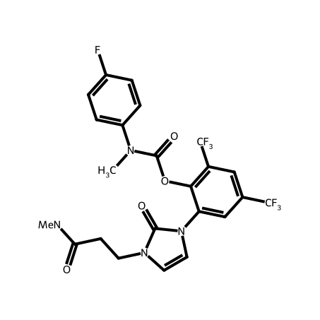 CNC(=O)CCn1ccn(-c2cc(C(F)(F)F)cc(C(F)(F)F)c2OC(=O)N(C)c2ccc(F)cc2)c1=O